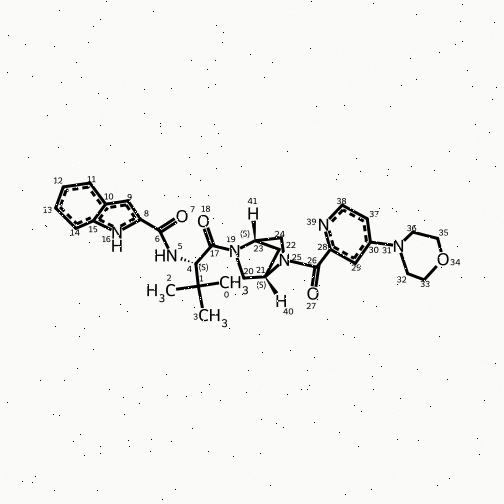 CC(C)(C)[C@H](NC(=O)c1cc2ccccc2[nH]1)C(=O)N1C[C@@H]2C[C@H]1CN2C(=O)c1cc(N2CCOCC2)ccn1